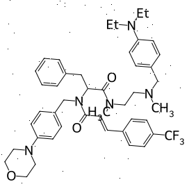 CCN(CC)c1ccc(CN(C)CCN(C)C(=O)C(Cc2ccccc2)N(Cc2ccc(N3CCOCC3)cc2)C(=O)C=Cc2ccc(C(F)(F)F)cc2)cc1